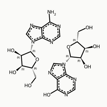 Nc1ncnc2c1ncn2[C@@H]1O[C@H](CO)[C@@H](O)[C@H]1O.OC[C@H]1O[C@@H](n2cnc3c(O)ncnc32)[C@H](O)[C@@H]1O